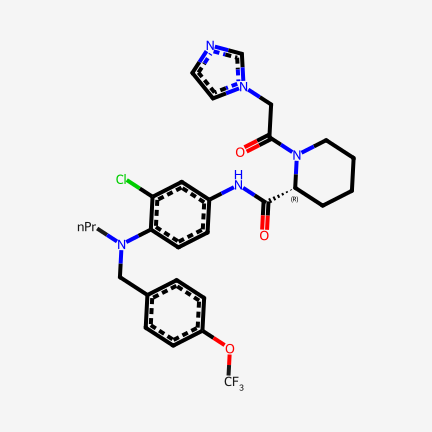 CCCN(Cc1ccc(OC(F)(F)F)cc1)c1ccc(NC(=O)[C@H]2CCCCN2C(=O)Cn2ccnc2)cc1Cl